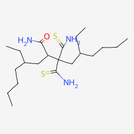 CCCCC(CC)CC(C(N)=O)C(CC(CC)CCCC)(C(N)=S)C(N)=S